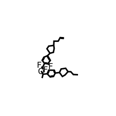 C=CCCC1CCC(c2ccc(C(F)(F)OC(C)c3ccc(C4CCC(CCC)CC4)cc3)c(F)c2)CC1